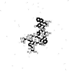 CC/N=C(\NCC)NCCCC[C@@H](CC(=O)[C@@H](Cc1ccc(O)cc1)NC(=O)[C@H](CO)NC(=O)[C@@H](Cc1cccnc1)NC(=O)[C@@H](Cc1ccc(Cl)cc1)NC(=O)[C@@H](Cc1ccc2ccccc2c1)NC(C)=O)C(=O)N[C@@H](CC(C)C)C(=O)N[C@@H](CCCCN/C(=N/CC)NCC)C(=O)N1CCCC1C(=O)N[C@H](C)C(N)=O